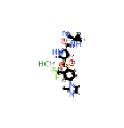 Cc1nccn1-c1ccc(S(=O)(=O)[C@H]2CN[C@H](C(=O)NC3(C#N)CC3)C2)c(C(F)(F)F)c1.Cl